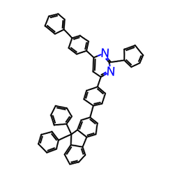 c1ccc(-c2ccc(-c3cc(-c4ccc(-c5ccc6c(c5)C(c5ccccc5)(c5ccccc5)c5ccccc5-6)cc4)nc(-c4ccccc4)n3)cc2)cc1